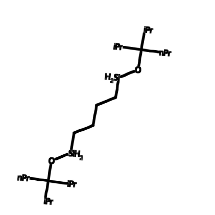 CCCC(O[SiH2]CCCC[SiH2]OC(CCC)(C(C)C)C(C)C)(C(C)C)C(C)C